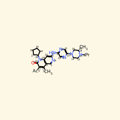 CC(=O)c1c(C)c2cnc(Nc3cnc(N4CCN(C(C)C)[C@@H](C)C4)cn3)cc2n(C2CCCC2)c1=O